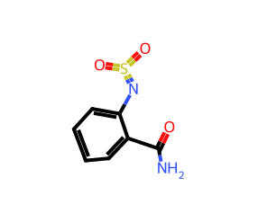 NC(=O)c1ccccc1N=S(=O)=O